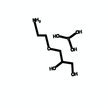 NCCOCC(O)CO.OB(O)O